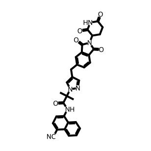 CC(C)(C(=O)Nc1ccc(C#N)c2ccccc12)n1cc(Cc2ccc3c(c2)C(=O)N(C2CCC(=O)NC2=O)C3=O)cn1